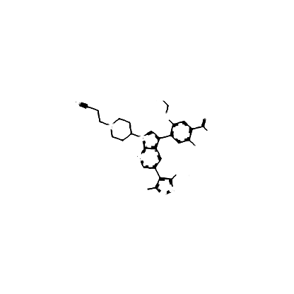 CCOc1cc(C(=O)O)c(F)cc1-c1cn(C2CCN(CCC#N)CC2)c2ncc(-c3c(C)noc3C)cc12